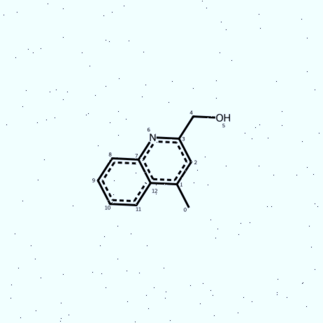 Cc1cc(CO)nc2ccccc12